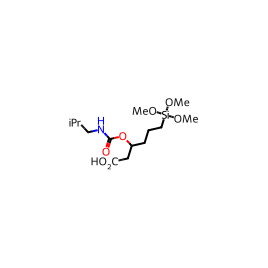 CO[Si](CCCC(CC(=O)O)OC(=O)NCC(C)C)(OC)OC